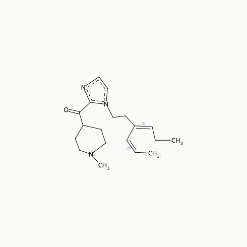 C/C=C\C(=C/CC)CCn1ccnc1C(=O)C1CCN(C)CC1